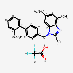 CCCCc1nc2c(C)cc(NC(C)=O)cc2n1Cc1ccc(-c2ccccc2C(=O)O)cc1.O=C(O)C(F)(F)F